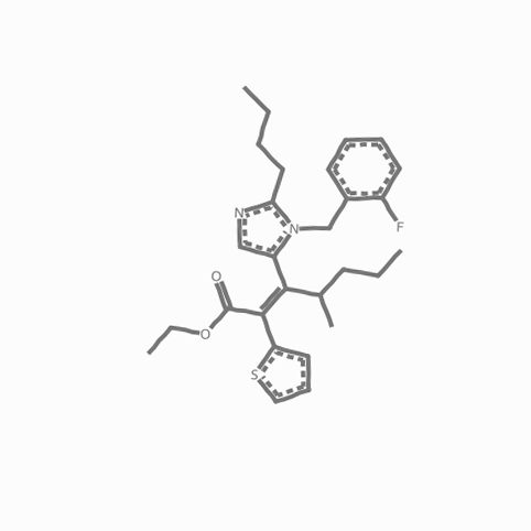 CCCCc1ncc(/C(=C(\C(=O)OCC)c2cccs2)C(C)CCC)n1Cc1ccccc1F